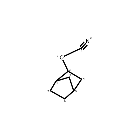 N#COC1CC2CCC1C2